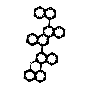 c1ccc2c(-c3cc4c5ccccc5c(-c5cc6c(c7ccccc57)-c5cccc7cccc(c57)O6)cc4c4ccccc34)cccc2c1